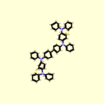 c1ccc(N(c2ccc(-c3ccc(N(c4ccccc4)c4ccc5c(c4)Sc4ccccc4N5c4ccccc4)cc3)cc2)c2ccc3c(c2)Sc2ccccc2N3c2ccccc2)cc1